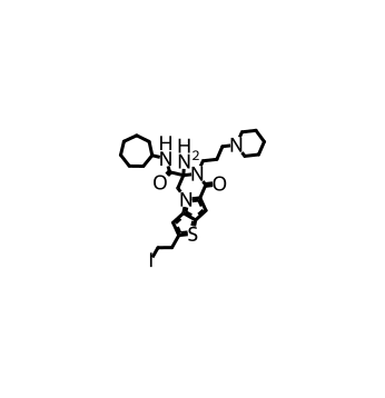 NC1(C(=O)NC2CCCCCC2)Cn2c(cc3sc(CCI)cc32)C(=O)N1CCCN1CCCCC1